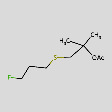 CC(=O)OC(C)(C)CSCCCF